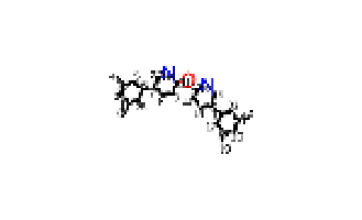 Cc1cc(C)cc(-c2ccc(Oc3ccc(-c4cc(C)cc(C)c4)cn3)nc2)c1